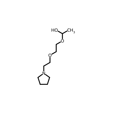 CC(O)OCCOCCN1CCCC1